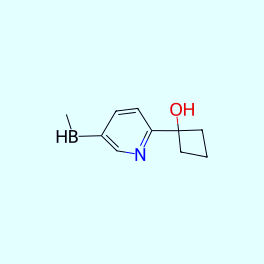 CBc1ccc(C2(O)CCC2)nc1